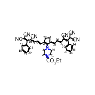 CCOC(=O)N1CCN(C2=C(/C=C/C=C(\C#N)C(=C(C#N)C#N)c3ccccc3)CC\C2=C/C=C/C(C#N)=C(\c2ccccc2)C(C#N)C#N)CC1